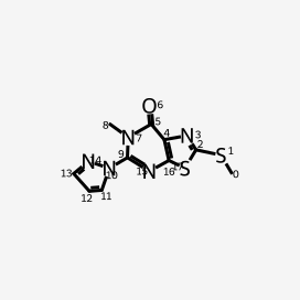 CSc1nc2c(=O)n(C)c(-n3cccn3)nc2s1